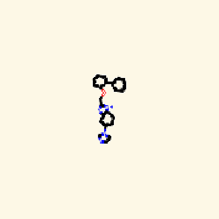 c1ccc(-c2ccccc2OCc2nc3cc(-n4ccnc4)ccc3[nH]2)cc1